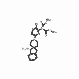 CC(C)(C)OC(=O)N(C(=O)OC(C)(C)C)c1nc(N2CCC3(CC2)Cc2ccccc2[C@H]3N)cnc1Br